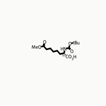 COC(=O)CCCCC[C@H](NC(=O)OC(C)(C)C)C(=O)O